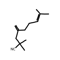 C=C(CCC=C(C)C)CC(C)(C)C#N